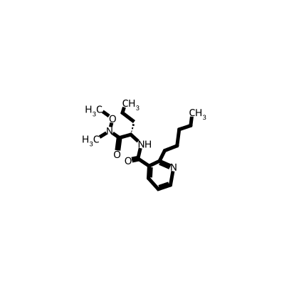 CCCCCc1ncccc1C(=O)N[C@@H](CCC)C(=O)N(C)OC